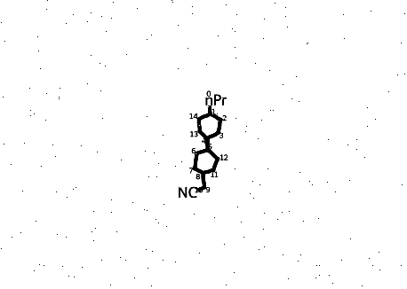 CCCC1CCC(C2CCC(CC#N)CC2)CC1